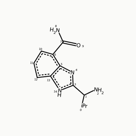 CC(C)C(N)c1nc2c(C(N)=O)cccc2[nH]1